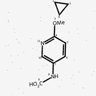 C1CC1.COc1ccc(NC(=O)O)cn1